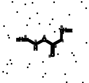 CCCCCCCC(=O)ONCCCCCC